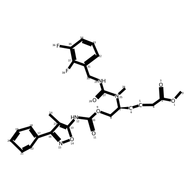 COC(=O)CCC[C@@H](COC(=O)Nc1onc(-c2ccccc2)c1C)N(C)C(=O)NCc1cccc(F)c1F